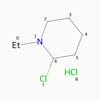 CCN1CCCCC1Cl.Cl